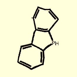 [c]1cccc2[pH]c3ccccc3c12